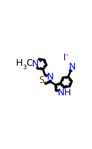 C[n+]1cccc(-c2nc(-c3c[nH]c4ccc(C#N)cc34)cs2)c1.[I-]